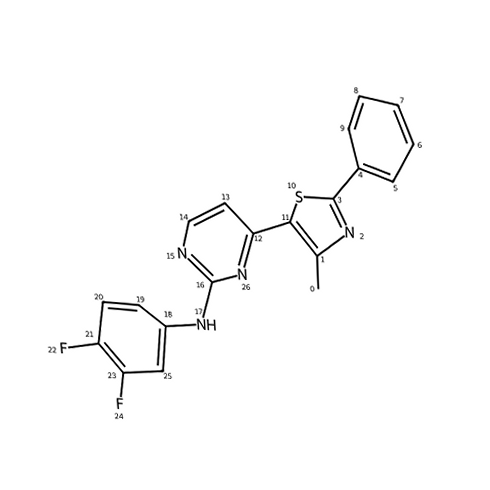 Cc1nc(-c2ccccc2)sc1-c1ccnc(Nc2ccc(F)c(F)c2)n1